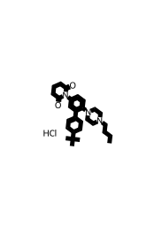 CCCCN1CCN(c2ccc(N3C(=O)CCCC3=O)cc2C2=CCC(C(C)(C)C)CC2)CC1.Cl